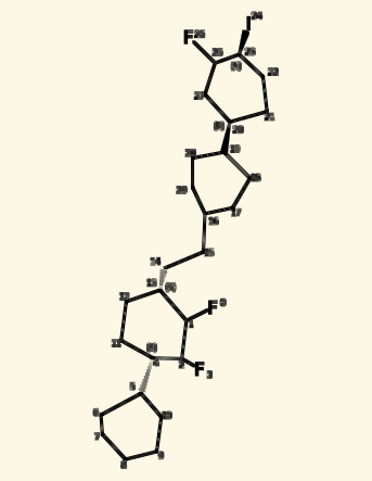 FC1C(F)[C@H](C2CCCCC2)CC[C@@H]1CCC1CCC([C@@H]2CC[C@H](I)C(F)C2)CC1